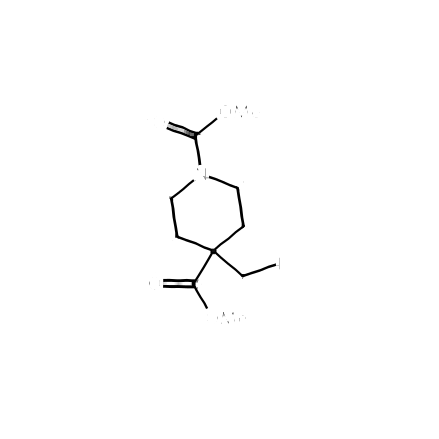 COC(=O)N1CCC(CI)(C(=O)OC)CC1